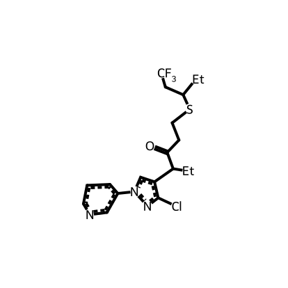 CCC(CC(F)(F)F)SCCC(=O)C(CC)c1cn(-c2cccnc2)nc1Cl